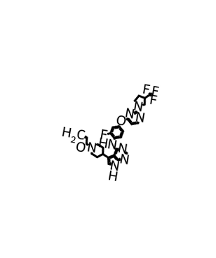 C=CC(=O)N1CCC(c2c[nH]c3ncnc(Nc4ccc(Oc5ccnc(N6CCC(C(F)(F)F)C6)n5)cc4F)c23)CC1